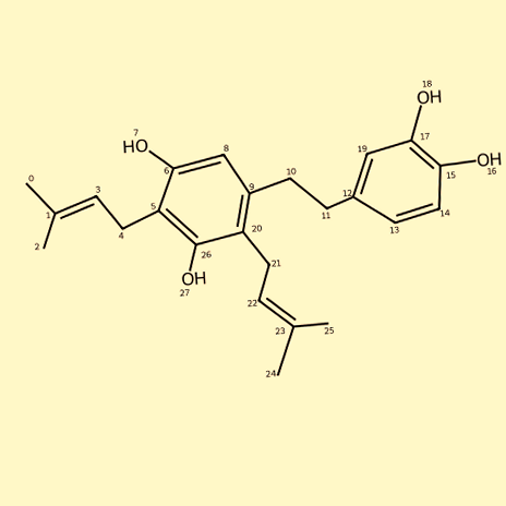 CC(C)=CCc1c(O)cc(CCc2ccc(O)c(O)c2)c(CC=C(C)C)c1O